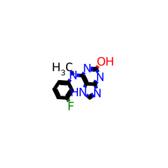 CN(c1cccc(F)c1)c1nc(O)nc2nc[nH]c12